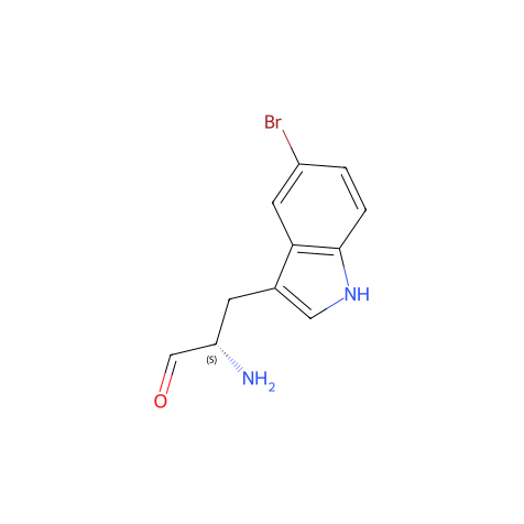 N[C@H](C=O)Cc1c[nH]c2ccc(Br)cc12